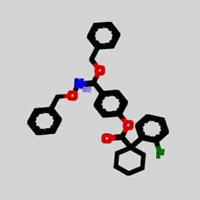 O=C(Oc1ccc(/C(=N\OCc2ccccc2)OCc2ccccc2)cc1)C1(c2ccccc2F)CCCCC1